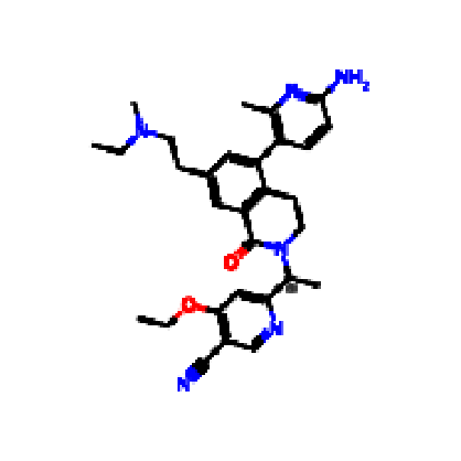 CCOc1cc([C@H](C)N2CCc3c(cc(CCN(C)CC)cc3-c3ccc(N)nc3C)C2=O)ncc1C#N